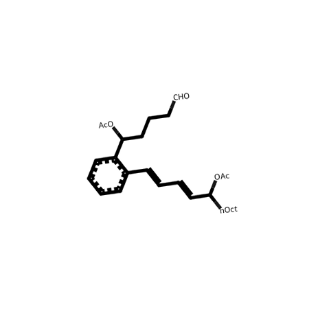 CCCCCCCCC(/C=C/C=C/c1ccccc1C(CCCC=O)OC(C)=O)OC(C)=O